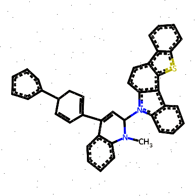 CN1c2ccccc2C(C2=CCC(c3ccccc3)C=C2)=CC1n1c2ccccc2c2c3sc4ccccc4c3ccc21